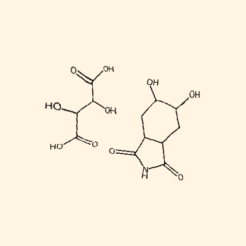 O=C(O)C(O)C(O)C(=O)O.O=C1NC(=O)C2CC(O)C(O)CC12